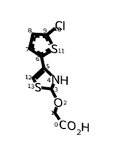 O=C(O)COC1NC(c2ccc(Cl)s2)=CS1